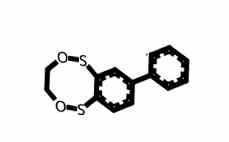 [c]1ccccc1-c1ccc2c(c1)SOCCOS2